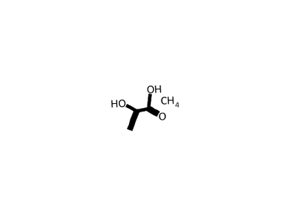 C.C=C(O)C(=O)O